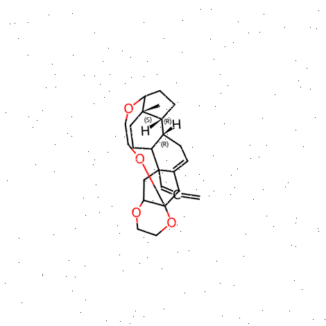 C=C=CC12CC3OCCOC34CC1=CC[C@@H]1C2CC[C@]2(C)C(CC[C@H]12)OCCO4